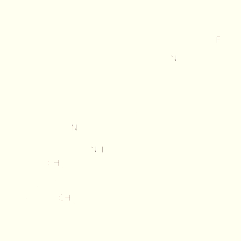 CC(C)(Cc1cnc(CCc2ccc(-c3ccc(F)cn3)cc2)[nH]1)C1CC1